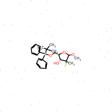 COC1O[C@H](CO[Si](c2ccccc2)(c2ccccc2)C(C)(C)C)[C@@H](O)[C@@]1(C)F